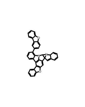 C1=CC2=CC34c5cc6oc7ccccc7c6c6c7cccc(-c8ccc9oc%10ccccc%10c9c8)c7n(c56)C3N4C2C=C1